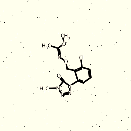 COC(C)=NOCc1c(Cl)cccc1-n1nnn(C)c1=O